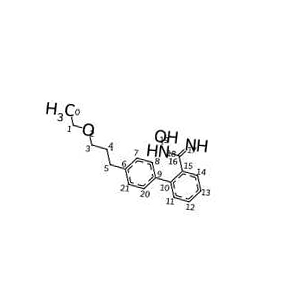 CCOC[CH]Cc1ccc(-c2ccccc2C(=N)NO)cc1